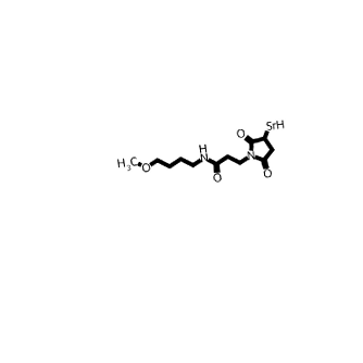 COCCCCNC(=O)CCN1C(=O)C[CH]([SrH])C1=O